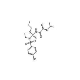 CCCSP(=S)(NC(=O)C(=O)OC(C)C)N(CC)S(=O)(=O)c1ccc(Br)cc1